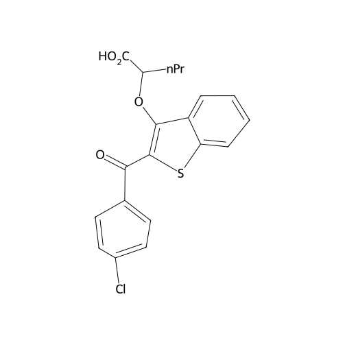 CCCC(Oc1c(C(=O)c2ccc(Cl)cc2)sc2ccccc12)C(=O)O